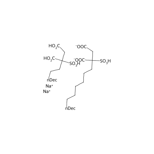 CCCCCCCCCCCCC(CC(=O)O)(C(=O)O)S(=O)(=O)O.CCCCCCCCCCCCCCCCC(CC(=O)[O-])(C(=O)[O-])S(=O)(=O)O.[Na+].[Na+]